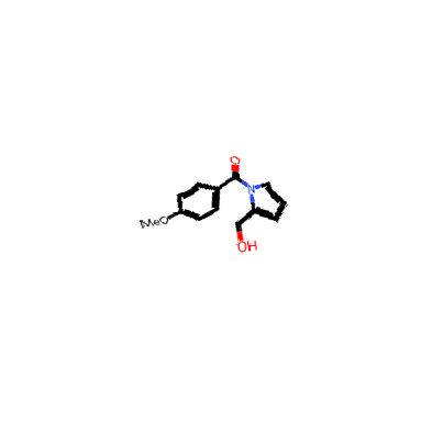 COc1ccc(C(=O)n2cccc2CO)cc1